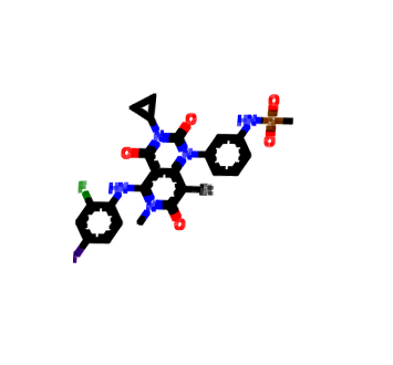 CCc1c(=O)n(C)c(Nc2ccc(I)cc2F)c2c(=O)n(C3CC3)c(=O)n(-c3cccc(NS(C)(=O)=O)c3)c12